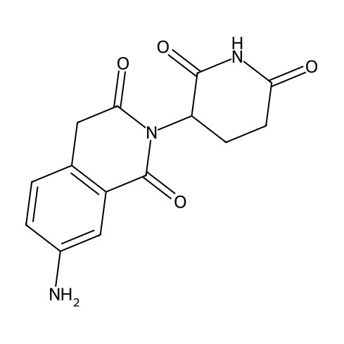 Nc1ccc2c(c1)C(=O)N(C1CCC(=O)NC1=O)C(=O)C2